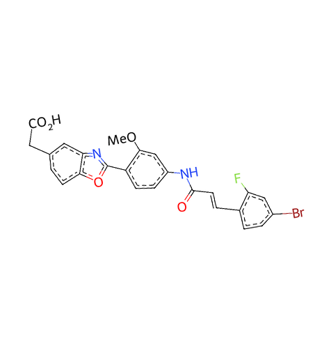 COc1cc(NC(=O)C=Cc2ccc(Br)cc2F)ccc1-c1nc2cc(CC(=O)O)ccc2o1